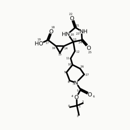 CC(C)(C)OC(=O)N1CCC(CCC2(C3CC3C(=O)O)NC(=O)NC2=O)CC1